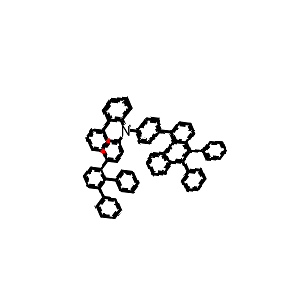 c1ccc(-c2ccccc2N(c2ccc(-c3cccc(-c4ccccc4)c3-c3ccccc3)cc2)c2ccc(-c3cccc4c(-c5ccccc5)c(-c5ccccc5)c5ccccc5c34)cc2)cc1